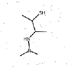 CC(S)C(C)NN(C)C